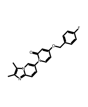 Cc1nc2ccc(-n3ccc(OCc4ccc(F)cc4)cc3=O)cn2c1C